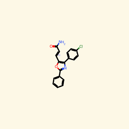 NC(=O)/C=C/c1oc(-c2ccccc2)nc1-c1ccc(Cl)cc1